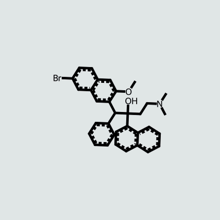 COc1cc2ccc(Br)cc2cc1C(c1ccccc1)C(O)(CCN(C)C)c1cccc2ccccc12